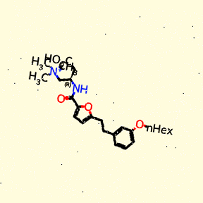 CCCCCCOc1cccc(CCc2ccc(C(=O)N[C@H](CC(=O)O)C[N+](C)(C)C)o2)c1